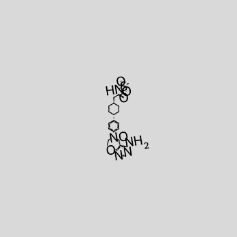 CS(=O)(=O)NC(=O)C[C@H]1CC[C@H](c2ccc(N3CCOc4ncnc(N)c4C3=O)cc2)CC1